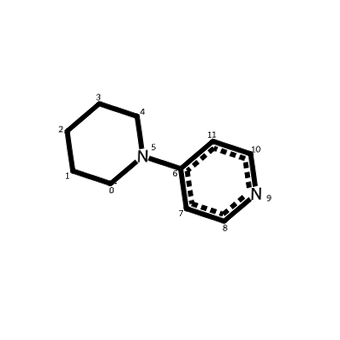 [CH]1CCCCN1c1ccncc1